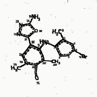 Cc1cc(Br)ccc1Nc1c(-c2nnc(N)o2)cn(C)c(=O)c1C